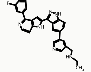 CCNCc1cncc(-c2ccc3[nH]nc(-c4cc5c(-c6cccc(F)c6)nccc5[nH]4)c3c2)c1